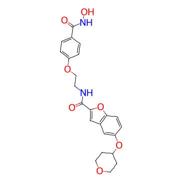 O=C(NO)c1ccc(OCCNC(=O)c2cc3cc(OC4CCOCC4)ccc3o2)cc1